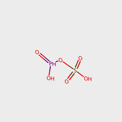 O=[PH](O)OS(=O)(=O)O